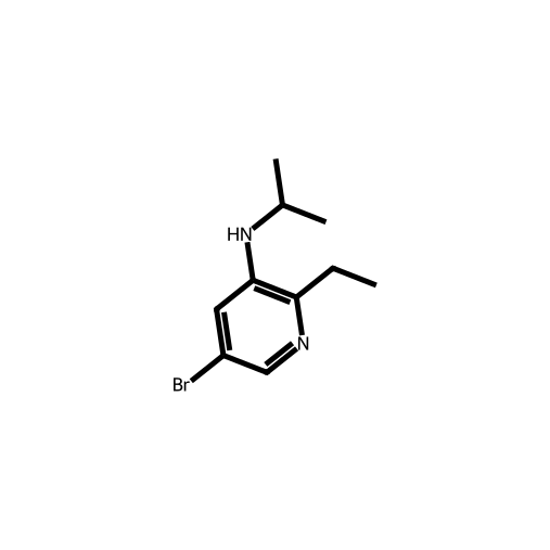 CCc1ncc(Br)cc1NC(C)C